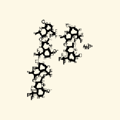 Cc1nc2c([O-])ccc(C(F)(F)F)c2cc1Oc1cc2c(C(F)(F)F)ccc([O-])c2nc1C.Cc1nc2c([O-])ccc(C(F)(F)F)c2cc1Oc1cc2c(C(F)(F)F)ccc([O-])c2nc1C.Cc1nc2c([O-])ccc(C(F)(F)F)c2cc1Oc1cc2c(C(F)(F)F)ccc([O-])c2nc1C.[Al+3].[Al+3]